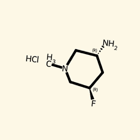 CN1C[C@H](N)C[C@@H](F)C1.Cl